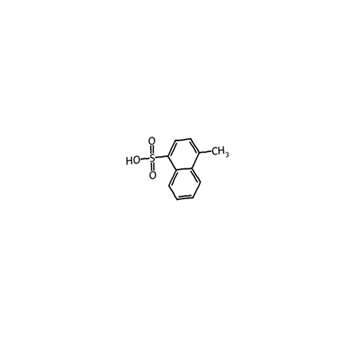 Cc1ccc(S(=O)(=O)O)c2ccccc12